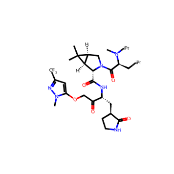 CC(C)C[C@@H](C(=O)N1C[C@H]2[C@@H]([C@H]1C(=O)N[C@H](C[C@@H]1CCNC1=O)C(=O)COc1cc(C(F)(F)F)nn1C)C2(C)C)N(C)C(C)C